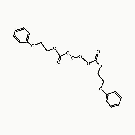 O=C(OCCOc1ccccc1)OOOOC(=O)OCCOc1ccccc1